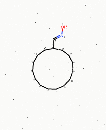 ON=CC1CCCCCCCCCCCCCC1